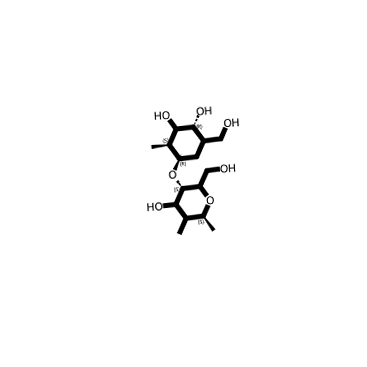 CC1C(O)[C@H](O[C@@H]2CC(CO)[C@@H](O)C(O)[C@@H]2C)C(CO)O[C@H]1C